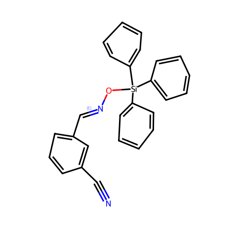 N#Cc1cccc(/C=N/O[Si](c2ccccc2)(c2ccccc2)c2ccccc2)c1